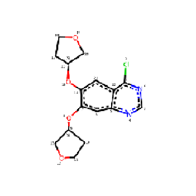 Clc1ncnc2cc(O[C@H]3CCOC3)c(O[C@H]3CCOC3)cc12